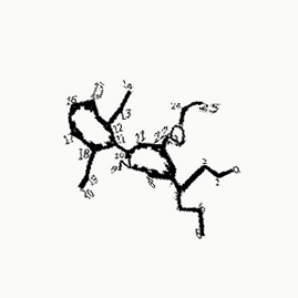 CCC=C(CCC)c1cnc(-c2c(CC)cccc2CC)cc1OCC